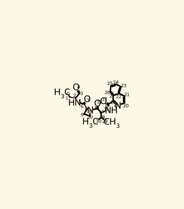 CC[C@@H](C=O)NC(=O)[C@@H]1CCN1C(=O)[C@@H](NC(=O)c1nccc2ccccc12)C(C)C